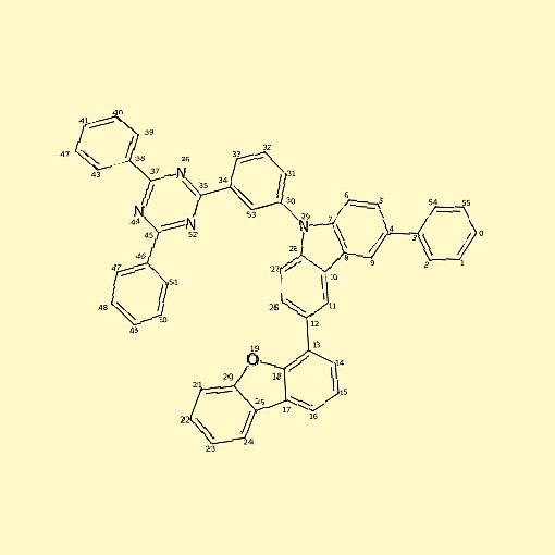 c1ccc(-c2ccc3c(c2)c2cc(-c4cccc5c4oc4ccccc45)ccc2n3-c2cccc(-c3nc(-c4ccccc4)nc(-c4ccccc4)n3)c2)cc1